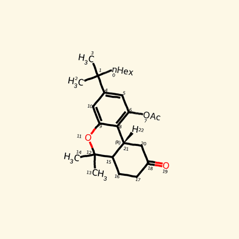 CCCCCCC(C)(C)c1cc(OC(C)=O)c2c(c1)OC(C)(C)C1CCC(=O)C[C@@H]21